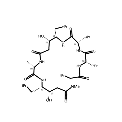 CNC(=O)C[C@H](O)[C@H](CC(C)C)NC(=O)[C@H](C)NC(=O)C[C@H](O)[C@H](CC(C)C)NC(=O)[C@@H](NC(=O)[C@@H](NC(=O)CC(C)C)C(C)C)C(C)C